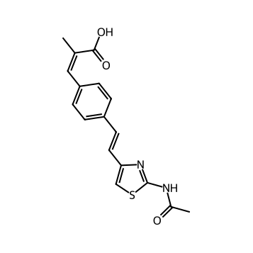 CC(=O)Nc1nc(C=Cc2ccc(C=C(C)C(=O)O)cc2)cs1